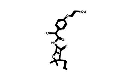 CC=CC1N2C(=O)C(NC(=O)C(N)c3ccc(O/C=C/CCCCCCCC)cc3)C2SC1(C)C